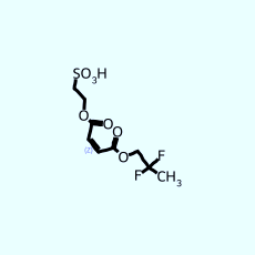 CC(F)(F)COC(=O)/C=C\C(=O)OCCS(=O)(=O)O